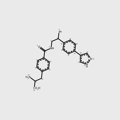 CC(C)C(CNC(=O)c1ccc(CC(N)C(=O)O)cc1)c1ccc(-c2cn[nH]c2)cc1